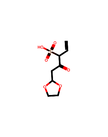 C=CC(C(=O)CC1OCCO1)S(=O)(=O)O